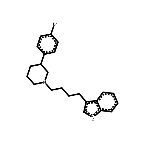 Brc1ccc(C2CCCN(CCCCc3c[nH]c4ccccc34)C2)cc1